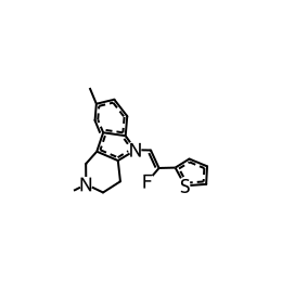 Cc1ccc2c(c1)c1c(n2/C=C(\F)c2cccs2)CCN(C)C1